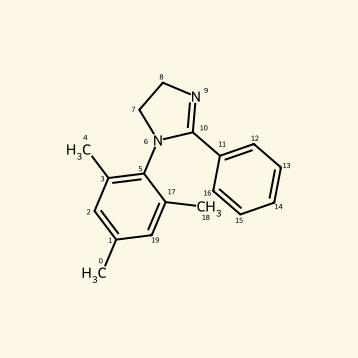 Cc1cc(C)c(N2CCN=C2c2ccccc2)c(C)c1